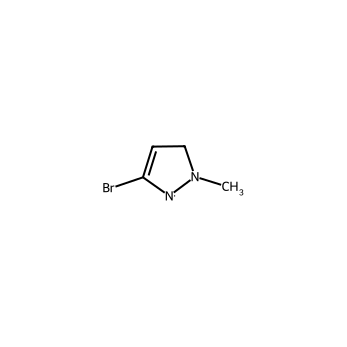 CN1CC=C(Br)[N]1